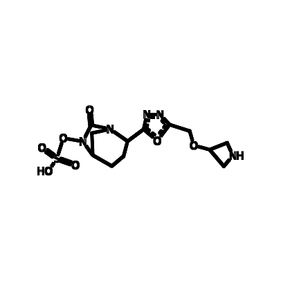 O=C1N2CC(CCC2c2nnc(COC3CNC3)o2)N1OS(=O)(=O)O